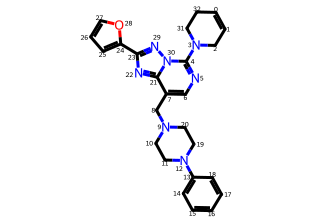 C1=CCN(c2ncc(CN3CCN(c4ccccc4)CC3)c3nc(-c4ccco4)nn23)CC1